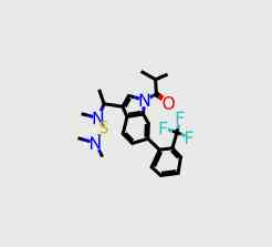 CC(C)C(=O)n1cc(C(C)N(C)SN(C)C)c2ccc(-c3ccccc3C(F)(F)F)cc21